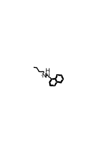 CCCC[N]Nc1cccc2ccccc12